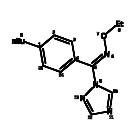 CCCCc1ccc(/C(=N\OCC)n2cncn2)cc1